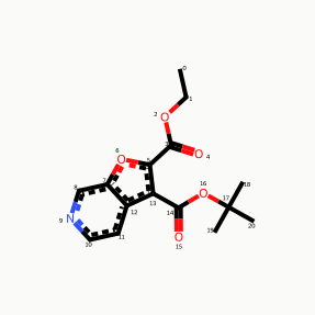 CCOC(=O)c1oc2cnccc2c1C(=O)OC(C)(C)C